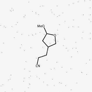 COC1CC(CCC#N)CO1